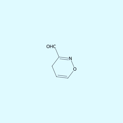 O=CC1=NOC=CC1